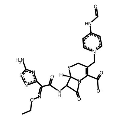 CCON=C(C(=O)NC1C(=O)N2C(C(=O)[O-])=C(C[n+]3ccc(NC=O)cc3)CS[C@@H]12)c1nsc(N)n1